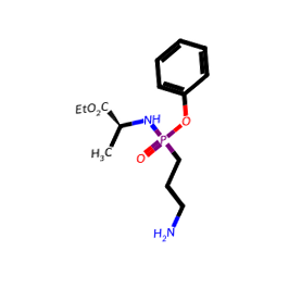 CCOC(=O)[C@H](C)NP(=O)(CCCN)Oc1ccccc1